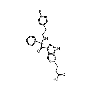 O=C(O)CCc1ccc2c(C(=O)[C@H](NCCc3ccc(F)cc3)c3ccccc3)c[nH]c2c1